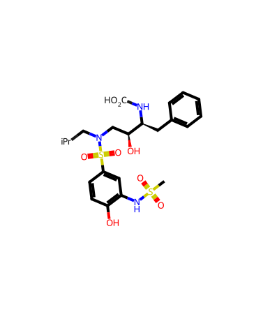 CC(C)CN(C[C@H](O)[C@H](Cc1ccccc1)NC(=O)O)S(=O)(=O)c1ccc(O)c(NS(C)(=O)=O)c1